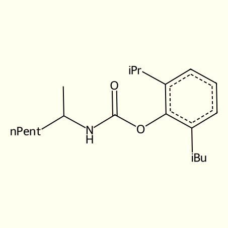 CCCCCC(C)NC(=O)Oc1c(C(C)C)cccc1C(C)CC